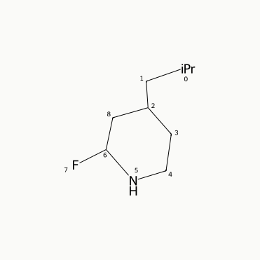 CC(C)CC1CCNC(F)C1